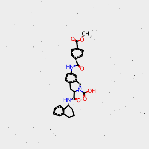 COC(=O)c1ccc(C(=O)Nc2ccc3c(c2)CN(C(=O)O)C(C(=O)N[C@@H]2CCCc4ccccc42)C3)cc1